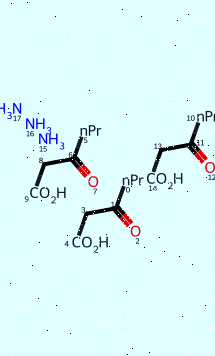 CCCC(=O)CC(=O)O.CCCC(=O)CC(=O)O.CCCC(=O)CC(=O)O.N.N.N